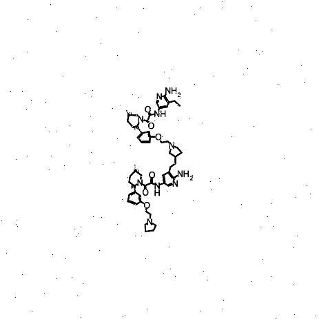 CCc1cc(NC(=O)C(=O)N2C[C@@H](C)CC[C@@H]2c2cccc(OCCN3CCC(CCc4cc(NC(=O)C(=O)N5C[C@@H](C)CC[C@@H]5c5cccc(OCCN6CCCC6)c5)cnc4N)C3)c2)cnc1N